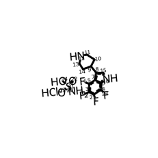 Cl.Fc1c(F)c(F)c2c(C3CCNCC3)c[nH]c2c1F.NS(=O)(=O)O